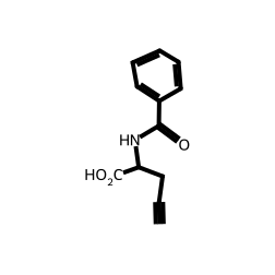 C#CCC(NC(=O)c1ccccc1)C(=O)O